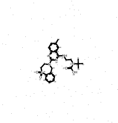 Cc1ccc2nc(N3CCS(=O)(=O)c4ccccc4C3)nc(NCCN(C(=O)O)C(C)(C)C)c2c1